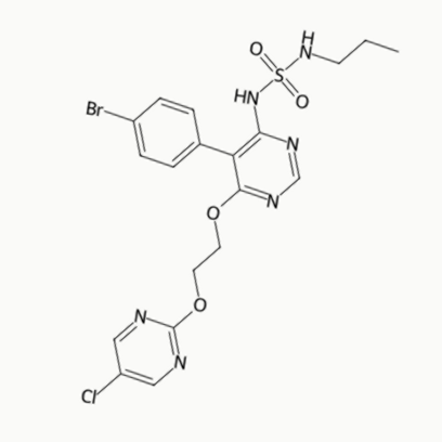 CCCNS(=O)(=O)Nc1ncnc(OCCOc2ncc(Cl)cn2)c1-c1ccc(Br)cc1